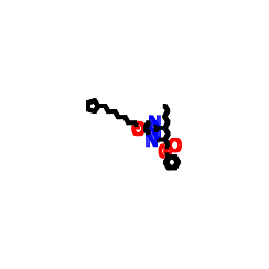 CCCCC(CC(C#N)C(=O)Oc1ccccc1)c1ncc(OCCCCCCCC2CCCC2)cn1